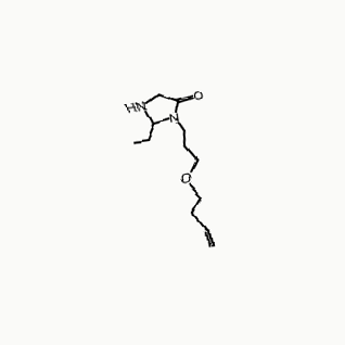 C=CCCOCCCN1C(=O)CNC1CC